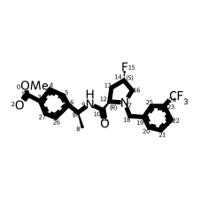 COC(=O)c1ccc([C@H](C)NC(=O)[C@H]2C[C@H](F)CN2Cc2cccc(C(F)(F)F)c2)cc1